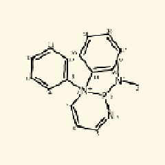 CN(C)P1N=CC=C[N+]1(c1ccccc1)c1ccccc1